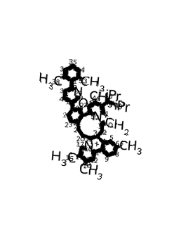 C=C1CC2c3cc(C)ccc3-c3cc(C)c(C)c[n+]3C2CCc2ccc3c(oc4nc(-c5c(C)cccc5C)ccc43)c2-c2cc(C)c(C(C(C)C)C(C)C)c[n+]21